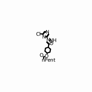 CCCCCC(=O)OC1CCC(C2=CN(c3cncc(Cl)n3)NO2)CC1